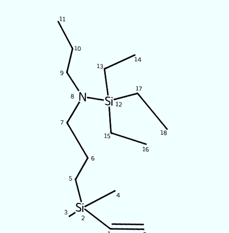 C=C[Si](C)(C)CCCN(CCC)[Si](CC)(CC)CC